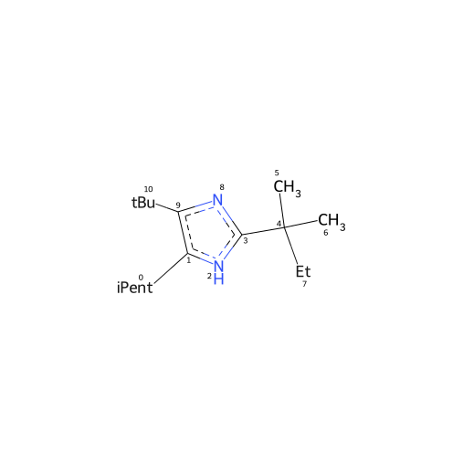 CCCC(C)c1[nH]c(C(C)(C)CC)nc1C(C)(C)C